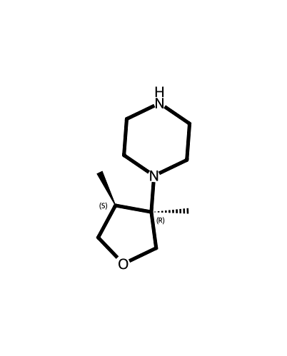 C[C@@H]1COC[C@]1(C)N1CCNCC1